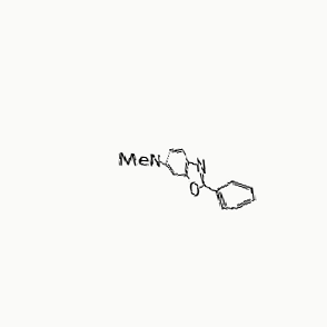 CNc1ccc2nc(-c3ccccc3)oc2c1